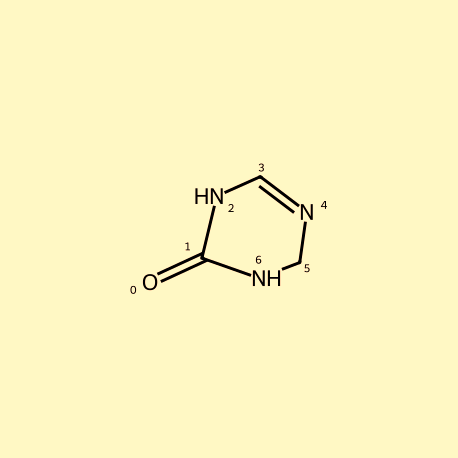 O=C1NC=NCN1